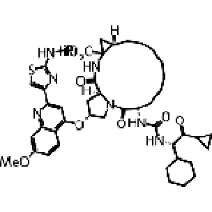 COc1ccc2c(O[C@@H]3C[C@H]4C(=O)N[C@]5(C(=O)O)C[C@@H]5CCCCCCC[C@H](NC(=O)N[C@H](C(=O)C5CC5)C5CCCCC5)C(=O)N4C3)cc(-c3csc(NC(C)C)n3)nc2c1